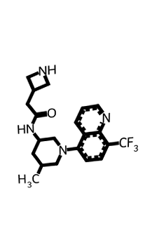 CC1CC(NC(=O)CC2CNC2)CN(c2ccc(C(F)(F)F)c3ncccc23)C1